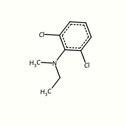 CCN(C)c1c(Cl)cccc1Cl